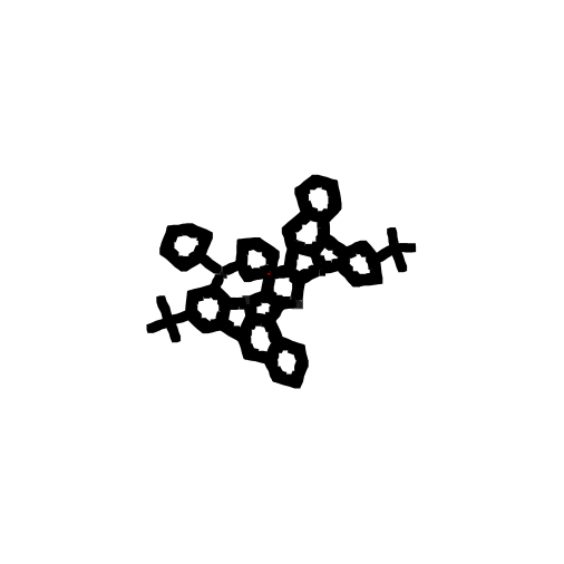 CC(C)(C)c1ccc2c(c1)c1c3ccccc3cc3c4nc5c(nc4n2c31)c1c2ccccc2cc2c3cc(C(C)(C)C)cc(N(c4ccccc4)c4ccccc4)c3n5c21